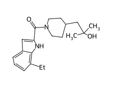 CCc1cccc2cc(C(=O)N3CCC(CC(C)(C)O)CC3)[nH]c12